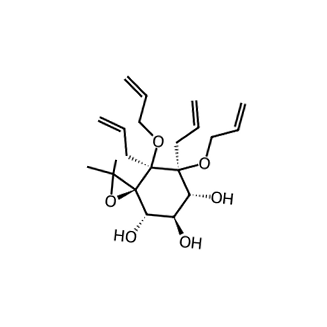 C=CCO[C@@]1(CC=C)[C@@](CC=C)(OCC=C)[C@H](O)[C@@H](O)[C@H](O)[C@@]12OC2(C)C